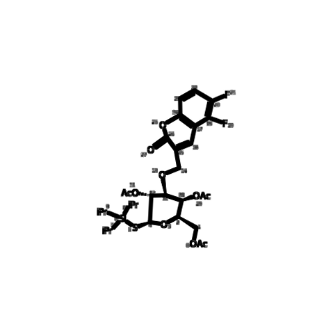 CC(=O)OC[C@H]1O[C@@H](S[Si](C(C)C)(C(C)C)C(C)C)[C@H](OC(C)=O)[C@@H](OCc2cc3c(F)c(F)ccc3oc2=O)[C@H]1OC(C)=O